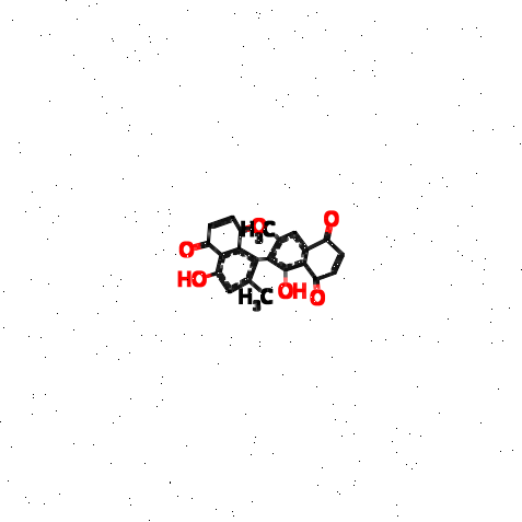 Cc1cc2c(c(O)c1-c1c(C)cc(O)c3c1C(=O)C=CC3=O)C(=O)C=CC2=O